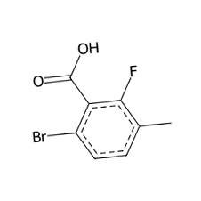 Cc1ccc(Br)c(C(=O)O)c1F